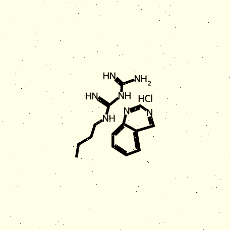 CCCCNC(=N)NC(=N)N.Cl.c1ccc2ncncc2c1